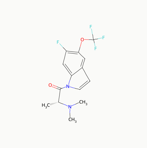 C[C@H](C(=O)n1ccc2cc(OC(F)(F)F)c(F)cc21)N(C)C